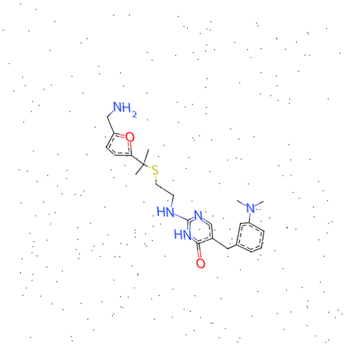 CN(C)c1cccc(Cc2cnc(NCCSC(C)(C)c3ccc(CN)o3)[nH]c2=O)c1